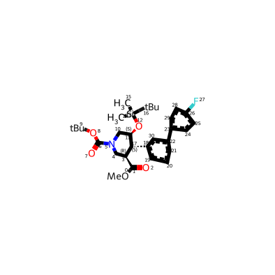 COC(=O)[C@H]1CN(C(=O)OC(C)(C)C)C[C@@H](O[Si](C)(C)C(C)(C)C)[C@@H]1c1cccc(-c2ccc(F)cc2)c1